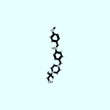 COc1ccc(CNc2ccc(CN3CCN(C(C)(C)CO)CC3)cc2)cc1